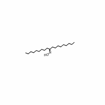 CCCCCCCCCC(CCCCCCCCC)=NO